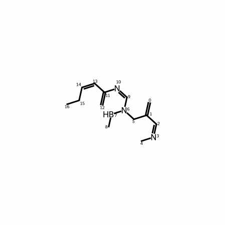 C=C(/C=N\C)CN(BC)/C=N\C(=C)/C=C\CC